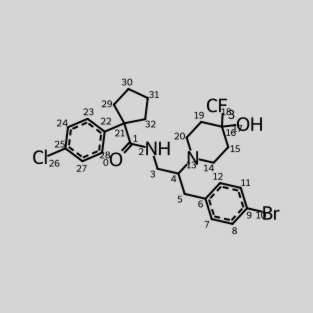 O=C(NCC(Cc1ccc(Br)cc1)N1CCC(O)(C(F)(F)F)CC1)C1(c2ccc(Cl)cc2)CCCC1